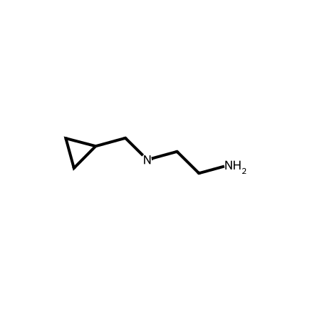 NCC[N]CC1CC1